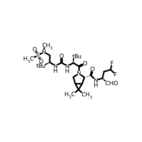 CN(C[C@@H](NC(=O)N[C@H](C(=O)N1CC2C([C@H]1C(=O)N[C@H](C=O)CC(F)F)C2(C)C)C(C)(C)C)C(C)(C)C)S(C)(=O)=O